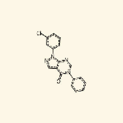 O=c1c2cnn(-c3cccc(Cl)c3)c2ncn1-c1ccccc1